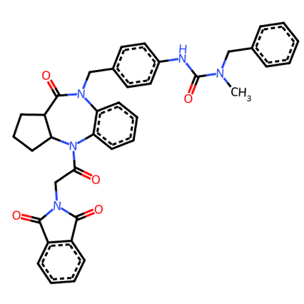 CN(Cc1ccccc1)C(=O)Nc1ccc(CN2C(=O)C3CCCC3N(C(=O)CN3C(=O)c4ccccc4C3=O)c3ccccc32)cc1